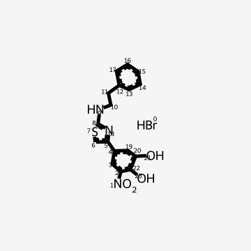 Br.O=[N+]([O-])c1cc(-c2csc(NCCc3ccccc3)n2)cc(O)c1O